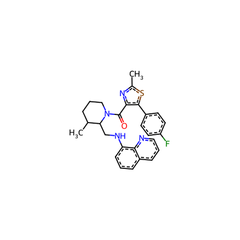 Cc1nc(C(=O)N2CCCC(C)C2CNc2cccc3cccnc23)c(-c2ccc(F)cc2)s1